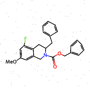 COc1cc(F)c2c(c1)CN(C(=O)OCc1ccccc1)C(Cc1ccccc1)C2